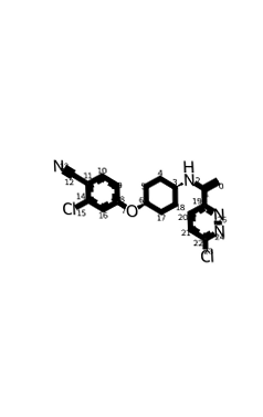 C=C(N[C@H]1CC[C@H](Oc2ccc(C#N)c(Cl)c2)CC1)c1ccc(Cl)nn1